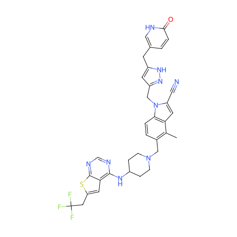 Cc1c(CN2CCC(Nc3ncnc4sc(CC(F)(F)F)cc34)CC2)ccc2c1cc(C#N)n2Cc1cc(Cc2ccc(=O)[nH]c2)[nH]n1